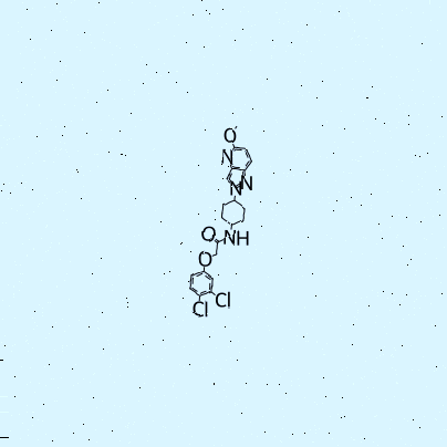 COc1ccc2nn(C3CCC(NC(=O)COc4ccc(Cl)c(Cl)c4)CC3)cc2n1